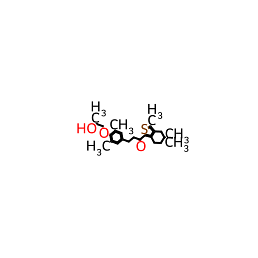 Cc1cc(CCC(=O)c2sc(C)c3c2CCC(C)(C)C3)cc(C)c1OCC(C)O